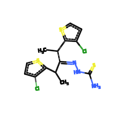 CC(C(=NNC(N)=S)C(C)c1sccc1Cl)c1sccc1Cl